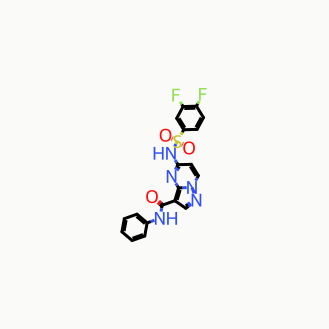 O=C(Nc1ccccc1)c1cnn2ccc(NS(=O)(=O)c3ccc(F)c(F)c3)nc12